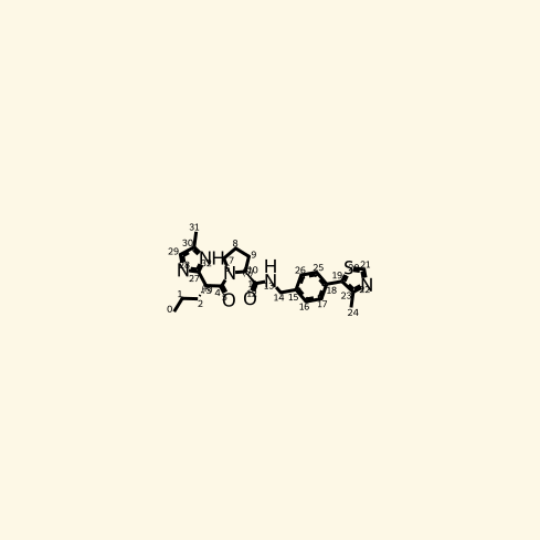 CCC[C@@H](C(=O)N1CCC[C@H]1C(=O)NCc1ccc(-c2scnc2C)cc1)c1ncc(C)[nH]1